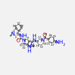 CN(C)C[C@@H](NC(=O)N1Cc2c(NC3CCCN(C(=O)c4ccc(N)cc4)C3)n[nH]c2C1(C)C)c1ccccc1